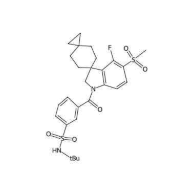 CC(C)(C)NS(=O)(=O)c1cccc(C(=O)N2CC3(CCC4(CC4)CC3)c3c2ccc(S(C)(=O)=O)c3F)c1